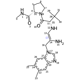 CNC(=O)[C@@H]1CCCN1C(=O)[C@@H](N/C=C(\N)Cn1cnc2cc(C)c(C)cc21)C(C)(C)C